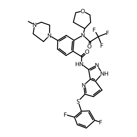 CN1CCN(c2ccc(C(=O)Nc3n[nH]c4ccc(Sc5cc(F)ccc5F)nc34)c(N(C(=O)C(F)(F)F)C3CCOCC3)c2)CC1